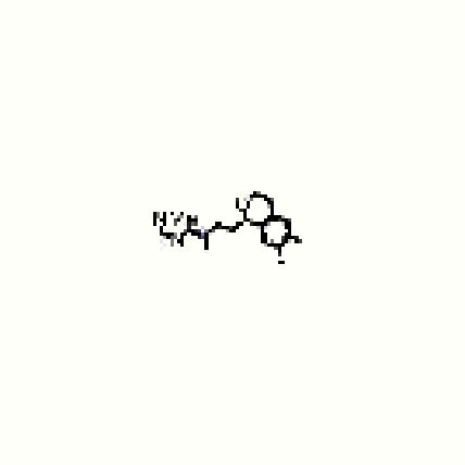 CN/C=N\C=C(/C)CCC1OCCc2cc(F)c(F)cc21